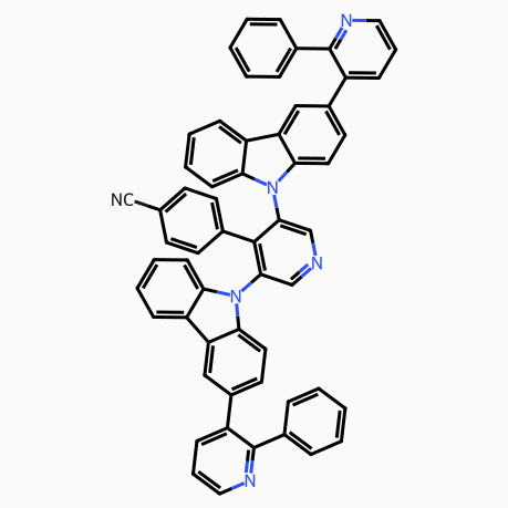 N#Cc1ccc(-c2c(-n3c4ccccc4c4cc(-c5cccnc5-c5ccccc5)ccc43)cncc2-n2c3ccccc3c3cc(-c4cccnc4-c4ccccc4)ccc32)cc1